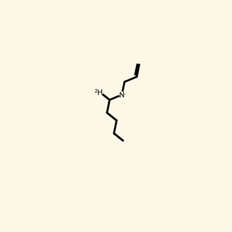 [2H]C(CCCC)[N]CC=C